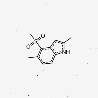 Cc1cc2c(S(C)(=O)=O)c(C)ccc2[nH]1